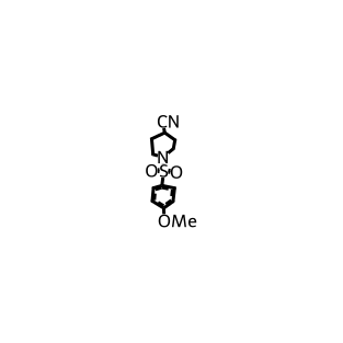 COc1ccc(S(=O)(=O)N2CCC(C#N)CC2)cc1